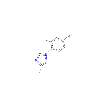 Cc1cn(-c2ccc(S)cc2C)cn1